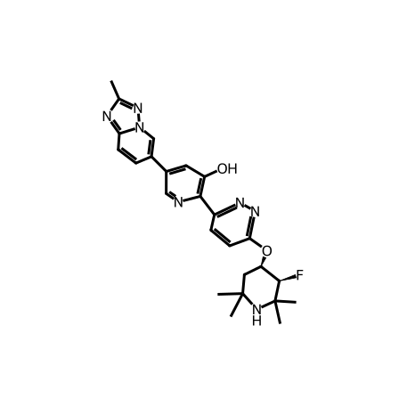 Cc1nc2ccc(-c3cnc(-c4ccc(O[C@@H]5CC(C)(C)NC(C)(C)[C@@H]5F)nn4)c(O)c3)cn2n1